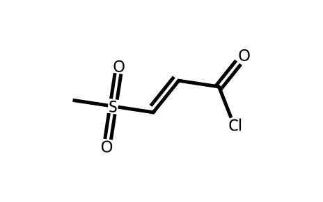 CS(=O)(=O)C=CC(=O)Cl